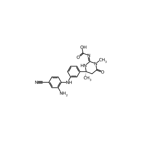 CN1C(=O)C[C@@](C)(c2cccc(Nc3ccc(C#N)cc3N)c2)N/C1=N\C(=O)O